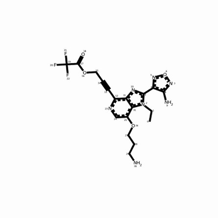 CCn1c(-c2nonc2N)nc2c(C#CCOC(=O)C(F)(F)F)ncc(OCCCN)c21